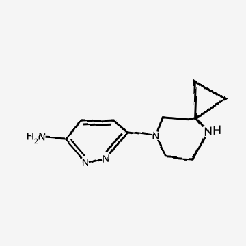 Nc1ccc(N2CCNC3(CC3)C2)nn1